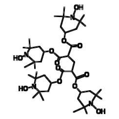 CC1(C)CC(OC(=O)C(CC(C(=O)OC2CC(C)(C)N(O)C(C)(C)C2)C(=O)OC2CC(C)(C)N(O)C(C)(C)C2)C(=O)OC2CC(C)(C)N(O)C(C)(C)C2)CC(C)(C)N1O